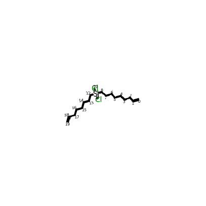 C=CCCCCCCC[Si](Cl)(Cl)CCCCCCC=C